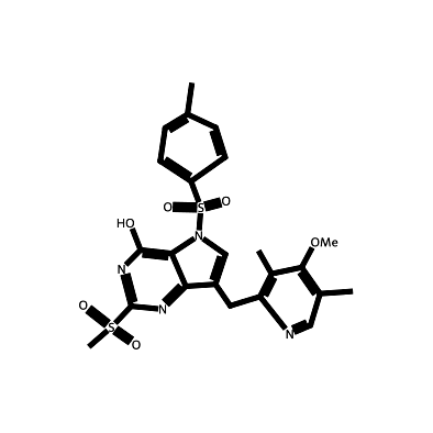 COc1c(C)cnc(Cc2cn(S(=O)(=O)c3ccc(C)cc3)c3c(O)nc(S(C)(=O)=O)nc23)c1C